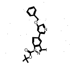 CC(C)(C)OC(=O)n1nc(I)c2cc(-c3cncc(OCc4ccccc4)c3)ccc21